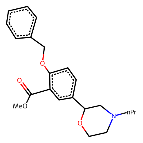 CCCN1CCOC(c2ccc(OCc3ccccc3)c(C(=O)OC)c2)C1